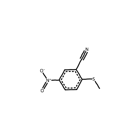 CSc1ccc([N+](=O)[O-])cc1C#N